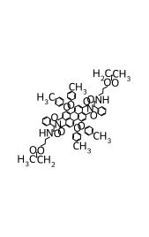 C=C(C)C(=O)OCCCCNC(=O)C(c1ccccc1)N1C(=O)c2cc(Oc3ccc(C)cc3)c3c4c(Oc5ccc(C)cc5)cc5c6c(cc(Oc7ccc(C)cc7)c(c7c(Oc8ccc(C)cc8)cc(c2c37)C1=O)c64)C(=O)N(C(C(=O)NCCCCOC(=O)C(=C)C)c1ccccc1)C5=O